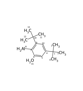 CC(C)(C)c1cc[c]([AlH2])c(C(C)(C)C)c1.O